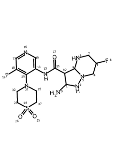 NC1NN2CC(F)CNC2C1C(=O)Nc1cncc(F)c1N1CCS(=O)(=O)CC1